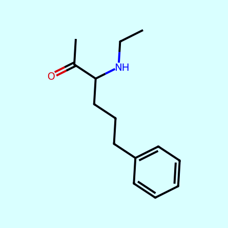 CCNC(CCCc1ccccc1)C(C)=O